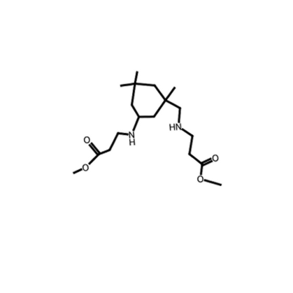 COC(=O)CCNCC1(C)CC(NCCC(=O)OC)CC(C)(C)C1